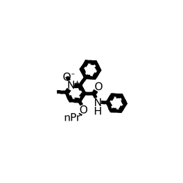 CCCOc1cc(C)[n+]([O-])c(-c2ccccc2)c1C(=O)Nc1ccccc1